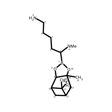 CNC(CCCCN)B1OC2C3CC(CC2(C)O1)C3(C)C